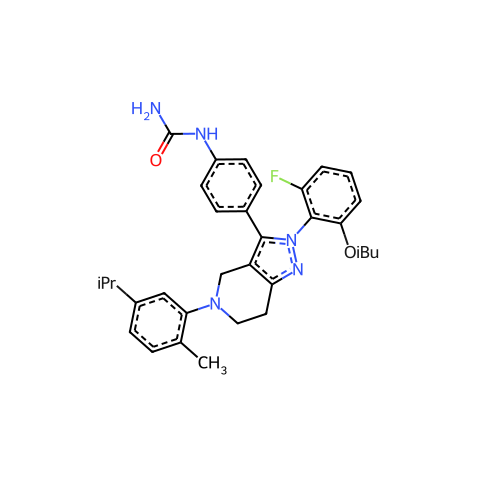 Cc1ccc(C(C)C)cc1N1CCc2nn(-c3c(F)cccc3OCC(C)C)c(-c3ccc(NC(N)=O)cc3)c2C1